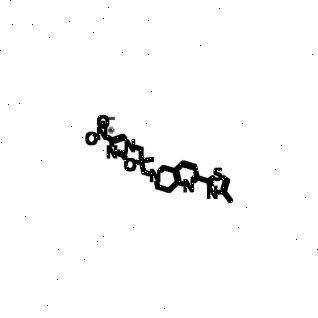 Cc1csc(-c2ccc3c(n2)CCN(CC2(C)Cn4cc([N+](=O)[O-])nc4O2)C3)n1